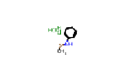 CSNc1ccccc1.Cl.Cl